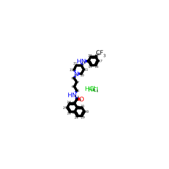 Cl.Cl.O=C(NCCCCN1CCC(Nc2cccc(C(F)(F)F)c2)CC1)c1cccc2ccccc12